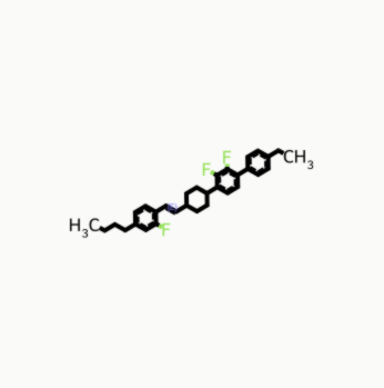 CCCCc1ccc(/C=C/C2CCC(c3ccc(-c4ccc(CC)cc4)c(F)c3F)CC2)c(F)c1